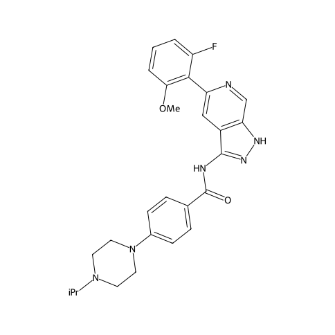 COc1cccc(F)c1-c1cc2c(NC(=O)c3ccc(N4CCN(C(C)C)CC4)cc3)n[nH]c2cn1